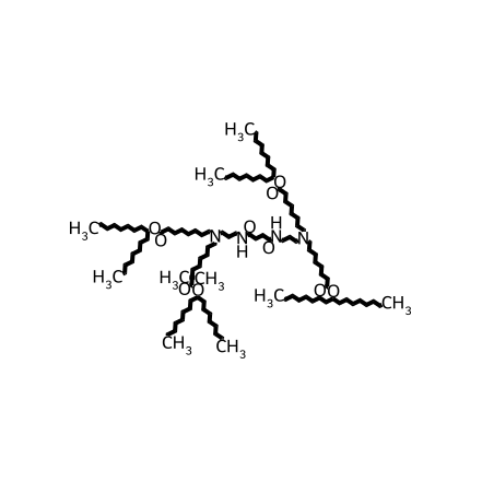 CCCCCCCCC(CCCCCCCC)OC(=O)CCCCCCCN(CCCCCCCC(=O)OC(CCCCCCCC)CCCCCCCC)CCCNC(=O)CCC(=O)NCCCN(CCCCCCCC(=O)OC(CCCCCCCC)CCCCCCCC)CCCCCCC(C)(C)C(=O)OC(CCCCCCCC)CCCCCCCC